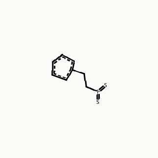 S=P(=S)CCc1ccccc1